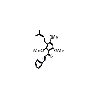 COc1cc(OC)c(C(=O)/C=C/c2ccccc2)c(OC)c1CC=C(C)C